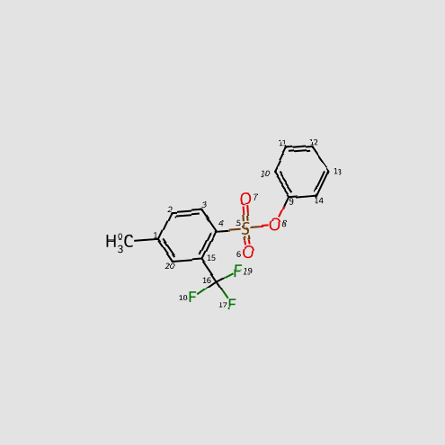 Cc1ccc(S(=O)(=O)Oc2ccccc2)c(C(F)(F)F)c1